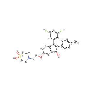 Cc1ccc(C2=C(c3cc(F)cc(F)c3)c3ccc(OCCN4CCS(=O)(=O)CC4)cc3C2=O)cc1